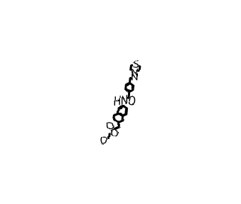 COCCOC(=O)CC1CCc2cc(NC(=O)c3ccc(C=NN4CCSCC4)cc3)ccc2C1